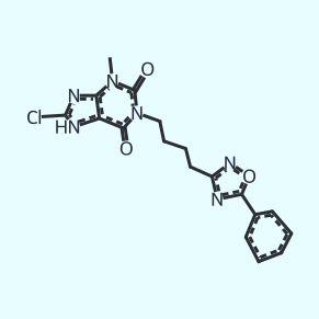 Cn1c(=O)n(CCCCc2noc(-c3ccccc3)n2)c(=O)c2[nH]c(Cl)nc21